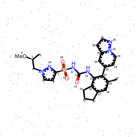 CO[C@@H](C)Cn1ccc(S(=O)(=O)NC(=O)Nc2c3c(cc(C)c2-c2ccn4nccc4c2)CCC3)n1